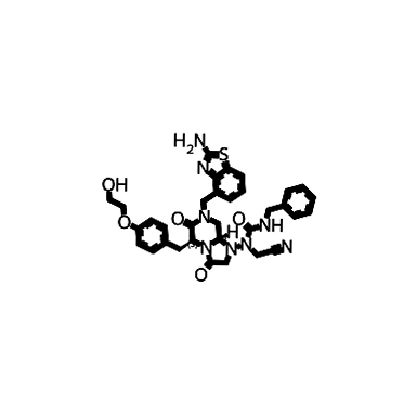 N#CCN(C(=O)NCc1ccccc1)N1CC(=O)N2[C@@H](Cc3ccc(OCCO)cc3)C(=O)N(Cc3cccc4sc(N)nc34)C[C@@H]21